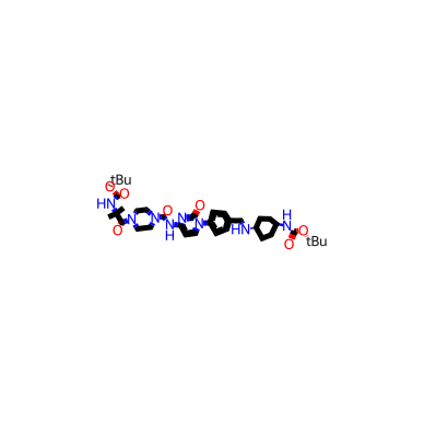 CC(C)(C)OC(=O)NC(C)(C)C(=O)N1CCN(C(=O)Nc2ccn(-c3ccc(CN[C@H]4CC[C@H](NC(=O)OC(C)(C)C)CC4)cc3)c(=O)n2)CC1